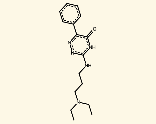 CCN(CC)CCCNc1nnc(-c2ccccc2)c(=O)[nH]1